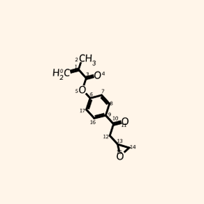 C=C(C)C(=O)Oc1ccc(C(=O)CC2CO2)cc1